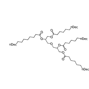 CCCCCCCCCCCCCCCCCC(=O)OC(COCC(COC(=O)CCCCCCCCCCCCCCC)OC(=O)CCCCCCCCCCCCCCC)COC(=O)CCCCCCCCCCCCCCC